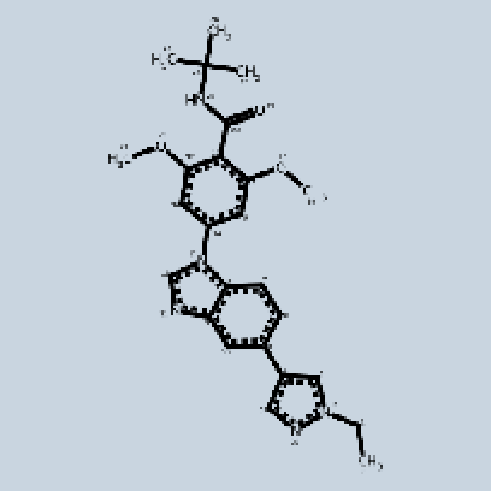 CCn1cc(-c2ccc3c(c2)ncn3-c2cc(OC)c(C(=O)NC(C)(C)C)c(OC)c2)cn1